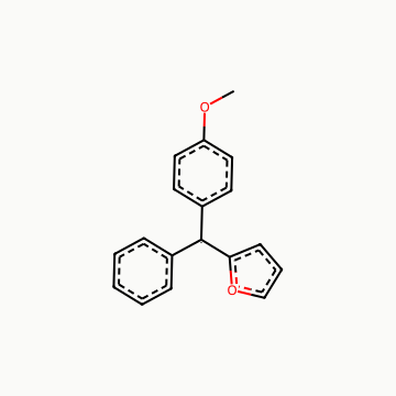 COc1ccc([C](c2ccccc2)c2ccco2)cc1